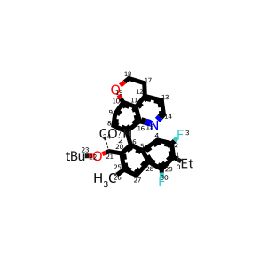 CCc1c(F)cc2c(-c3ccc4c5c(ccnc35)CCO4)c([C@H](OC(C)(C)C)C(=O)O)c(C)cc2c1F